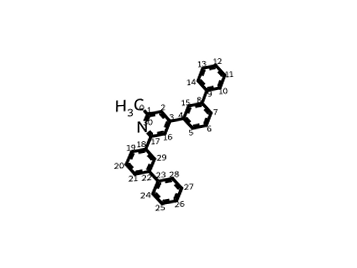 Cc1cc(-c2cccc(-c3ccccc3)c2)cc(-c2cccc(-c3ccccc3)c2)n1